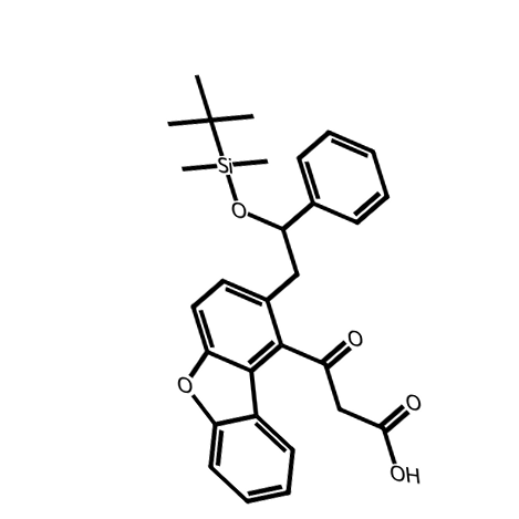 CC(C)(C)[Si](C)(C)OC(Cc1ccc2oc3ccccc3c2c1C(=O)CC(=O)O)c1ccccc1